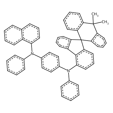 CC1(C)c2ccccc2C2(c3ccccc3-c3c(N(c4ccccc4)c4ccc(N(c5ccccc5)c5cccc6ccccc56)cc4)cccc32)c2ccccc21